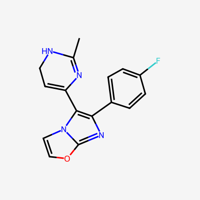 CC1=NC(c2c(-c3ccc(F)cc3)nc3occn23)=CCN1